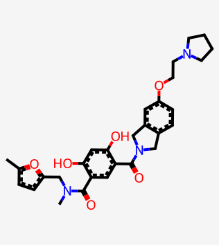 Cc1ccc(CN(C)C(=O)c2cc(C(=O)N3Cc4ccc(OCCN5CCCC5)cc4C3)c(O)cc2O)o1